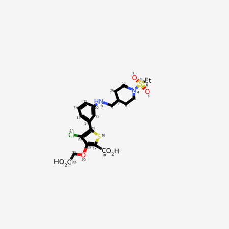 CCS(=O)(=O)N1CCC(CNc2cccc(-c3sc(C(=O)O)c(OCC(=O)O)c3Cl)c2)CC1